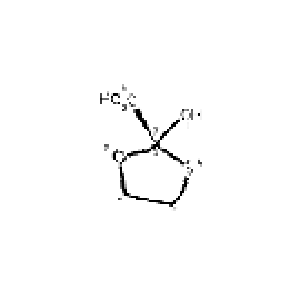 O=C(O)[C@]1(O)OCCS1